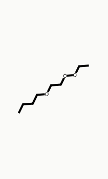 CCCCOCCOOCC